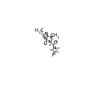 CCc1cn2c(=O)n(CC(=O)N3CCC(F)C3)cc(C)c2n1